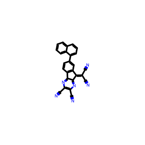 N#CC(C#N)=C1c2cc(-c3cccc4ccccc34)ccc2-c2nc(C#N)c(C#N)nc21